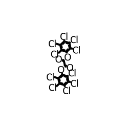 O=C(Oc1c(Cl)c(Cl)c(Cl)c(Cl)c1Cl)C(=O)Oc1c(Cl)c(Cl)c(Cl)c(Cl)c1Cl